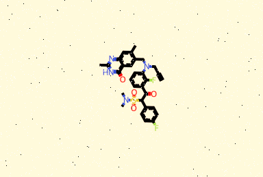 C#CCN(Cc1cc2c(=O)[nH]c(C)nc2cc1C)c1cccc(C(=O)C(c2ccc(F)cc2)S(=O)(=O)N(C)C)c1F